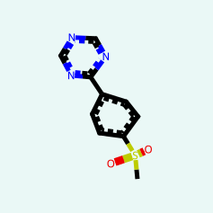 CS(=O)(=O)c1ccc(-c2ncncn2)cc1